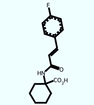 O=C(C=Cc1ccc(F)cc1)NC1(C(=O)O)CCCCC1